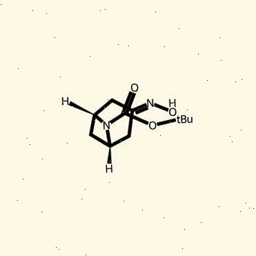 CC(C)(C)OC(=O)N1[C@@H]2CC(=NO)C[C@H]1C2